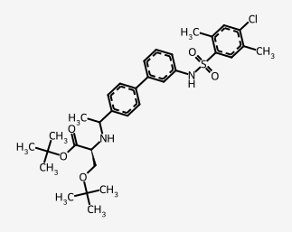 Cc1cc(S(=O)(=O)Nc2cccc(-c3ccc(C(C)N[C@@H](COC(C)(C)C)C(=O)OC(C)(C)C)cc3)c2)c(C)cc1Cl